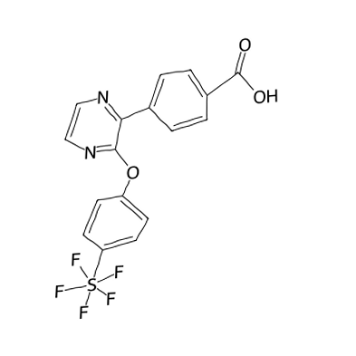 O=C(O)c1ccc(-c2nccnc2Oc2ccc(S(F)(F)(F)(F)F)cc2)cc1